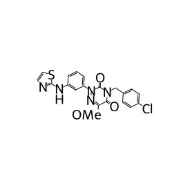 COc1nn(-c2cccc(Nc3nccs3)c2)c(=O)n(Cc2ccc(Cl)cc2)c1=O